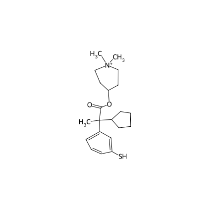 CC(C(=O)OC1CC[N+](C)(C)CC1)(c1cccc(S)c1)C1CCCC1